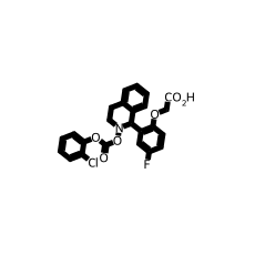 O=C(O)COc1ccc(F)cc1C1c2ccccc2CCN1OC(=O)Oc1ccccc1Cl